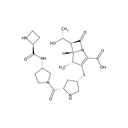 C[C@@H](O)[C@H]1C(=O)N2C(C(=O)O)=C(S[C@@H]3CN[C@H](C(=O)N4CC[C@H](NC(=O)[C@@H]5CCN5)C4)C3)[C@H](C)[C@H]12